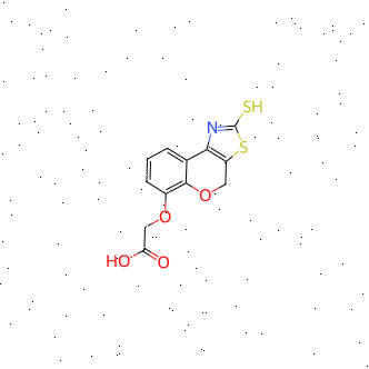 O=C(O)COc1cccc2c1OCc1sc(S)nc1-2